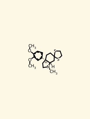 COc1ccc([C@@]23CCN(C)[C@@H]2CC2(CC3)SCCS2)cc1OC